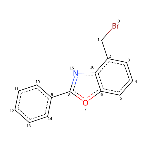 BrCc1cccc2oc(-c3ccccc3)nc12